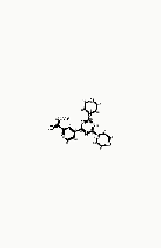 COC(=O)c1cc(-c2nc(N3CCOCC3)nc(N3CCOCC3)n2)ccn1